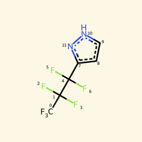 FC(F)(F)C(F)(F)C(F)(F)c1cc[nH]n1